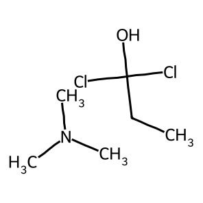 CCC(O)(Cl)Cl.CN(C)C